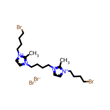 Cc1n(CCCCn2cc[n+](CCCCBr)c2C)cc[n+]1CCCCBr.[Br-].[Br-]